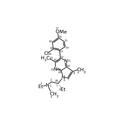 CC[C@H](CN(C)CC)n1cc(C)c2nc(-c3ccc(OC)cc3Cl)c(C)nc21